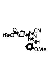 COc1ccccc1Nc1nc(C#N)nc(N2CCN(C(=O)OC(C)(C)C)CC2)n1